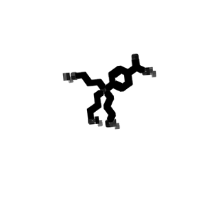 CCC[CH2][Sn]([CH2]CCC)([CH2]CCC)[c]1ccc(C(C)=O)cc1